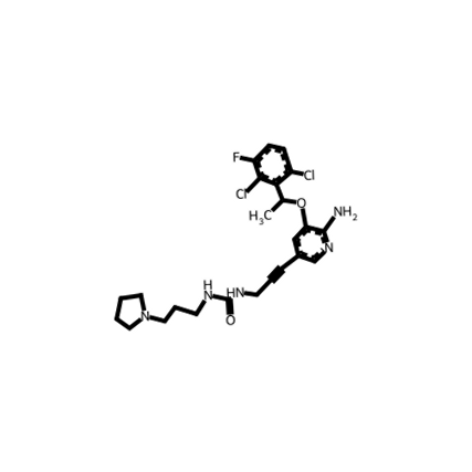 CC(Oc1cc(C#CCNC(=O)NCCCN2CCCC2)cnc1N)c1c(Cl)ccc(F)c1Cl